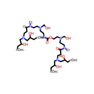 CCCCCCCCCCCC(O)CN(CCC(=O)N(CC)CCN(CO)CCNC(=O)OCCN(CO)CCN(CC)C(=O)CCN(CC(O)CCCCCCCCCCC)CC(O)CCCCCCCCCCC)CC(O)CCCCCCCCCCC